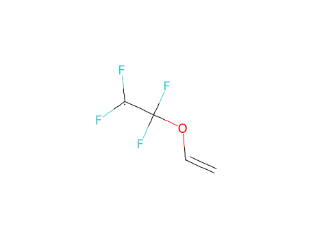 C=COC(F)(F)[C](F)F